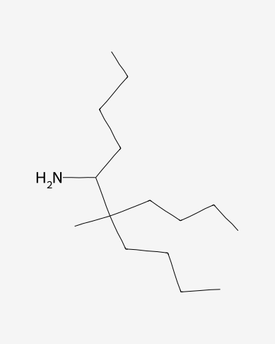 CCCCC(N)C(C)(CCCC)CCCC